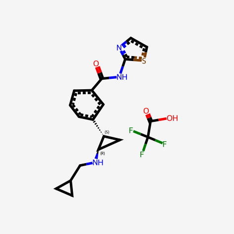 O=C(Nc1nccs1)c1cccc([C@@H]2C[C@H]2NCC2CC2)c1.O=C(O)C(F)(F)F